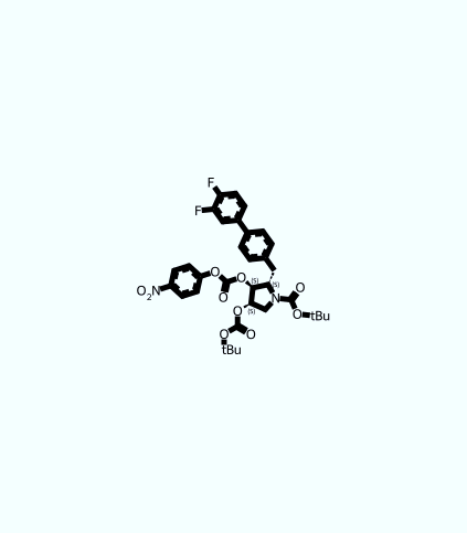 CC(C)(C)OC(=O)O[C@H]1CN(C(=O)OC(C)(C)C)[C@@H](Cc2ccc(-c3ccc(F)c(F)c3)cc2)[C@@H]1OC(=O)Oc1ccc([N+](=O)[O-])cc1